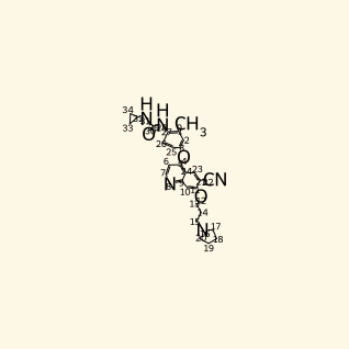 Cc1cc(Oc2ccnc3cc(OCCCN4CCCC4)c(C#N)cc23)ccc1NC(=O)NC1CC1